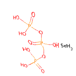 O=P(O)(O)OP(=O)(O)OP(=O)(O)O.[SeH2]